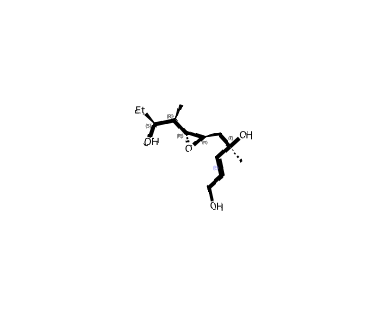 CC[C@H](O)[C@@H](C)[C@H]1O[C@@H]1C[C@@](C)(O)/C=C/CO